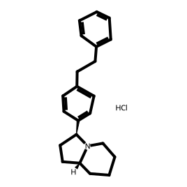 Cl.c1ccc(CCc2ccc([C@@H]3CC[C@H]4CCCCN43)cc2)cc1